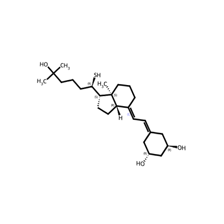 CC(C)(O)CCC[C@@H](S)[C@H]1CC[C@H]2/C(=C/C=C3C[C@@H](O)C[C@H](O)C3)CCC[C@]12C